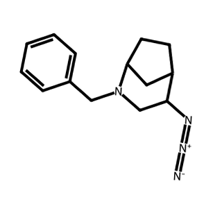 [N-]=[N+]=NC1CN(Cc2ccccc2)C2CCC1C2